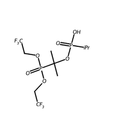 CC(C)P(=O)(O)OC(C)(C)P(=O)(OCC(F)(F)F)OCC(F)(F)F